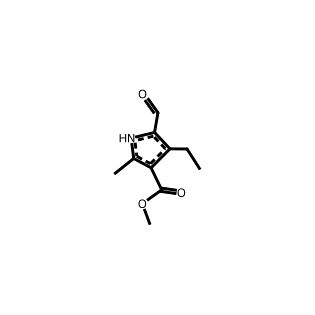 CCc1c(C=O)[nH]c(C)c1C(=O)OC